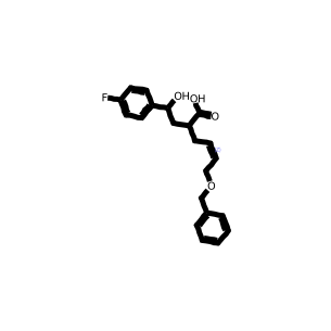 O=C(O)C(C/C=C\COCc1ccccc1)CC(O)c1ccc(F)cc1